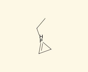 CC[PH]1=CC1